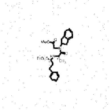 CCOC(=O)[C@H](CCc1ccccc1)N[C@@H](C)C(=O)N(CC(=O)OC)C1Cc2ccccc2C1